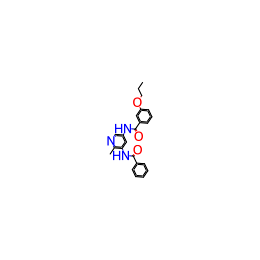 CCCOc1cccc(C(=O)Nc2cnc(C)c(NC(=O)c3ccccc3)c2)c1